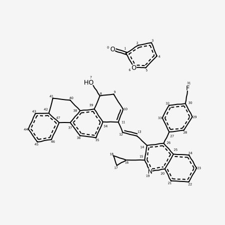 O=c1cccco1.OC1CC=C(C=Cc2c(C3CC3)nc3ccccc3c2-c2ccc(F)cc2)c2ccc3c(c21)CCc1ccccc1-3